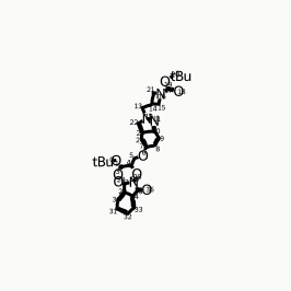 CC(C)(C)OC(=O)C(COc1ccc2nn(CC3CN(C(=O)OC(C)(C)C)C3)cc2c1)ON1C(=O)c2ccccc2C1=O